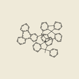 CC1(c2ccccc2)c2ccccc2-c2c(N(c3ccc4c5ccccc5c5ccccc5c4c3)c3cccc4c3C3(c5ccccc5-c5ccccc53)c3ccccc3-4)cccc21